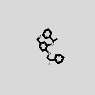 CC(Oc1cc(C=O)ccc1OC[C@@H](C)c1ccccc1)c1ccccc1